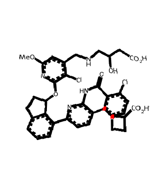 COc1cc(CNCC(O)CC(=O)O)c(Cl)c(OC2CCc3cccc(-c4ccc(CN5CCC5C(=O)O)c(NC(=O)c5ccccc5Cl)n4)c32)n1